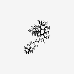 [2H]Oc1c(C(=O)N([2H])CCCN2CCC(C([2H])([2H])[2H])CC2)c(=O)n(C([2H])([2H])C([2H])([2H])[2H])c2c([2H])c([2H])c([2H])c([2H])c12